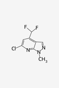 Cn1ncc2c(C(F)F)cc(Cl)nc21